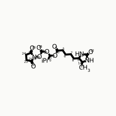 CC(C)C(OC(=O)CCCCC1NC(=O)NC1C)OC(=O)ON1C(=O)CCC1=O